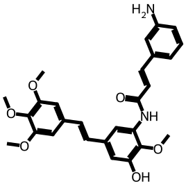 COc1cc(C=Cc2cc(O)c(OC)c(NC(=O)/C=C/c3cccc(N)c3)c2)cc(OC)c1OC